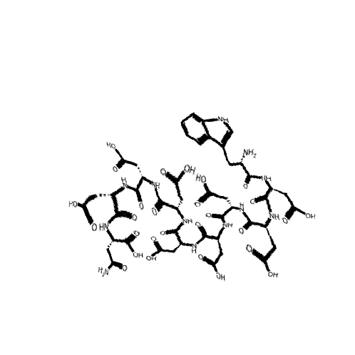 NC(=O)C[C@H](NC(=O)[C@H](CC(=O)O)NC(=O)[C@H](CC(=O)O)NC(=O)[C@H](CC(=O)O)NC(=O)[C@H](CC(=O)O)NC(=O)[C@H](CC(=O)O)NC(=O)[C@H](CC(=O)O)NC(=O)[C@H](CC(=O)O)NC(=O)[C@H](CC(=O)O)NC(=O)[C@@H](N)Cc1c[nH]c2ccccc12)C(=O)O